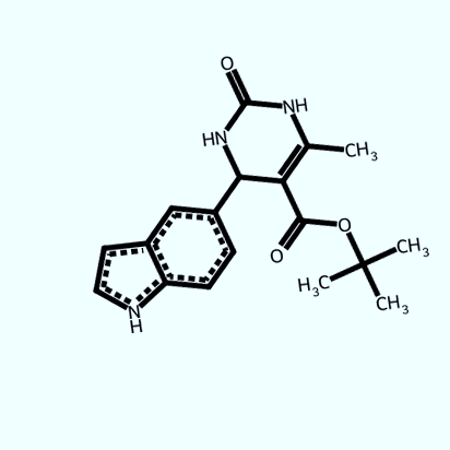 CC1=C(C(=O)OC(C)(C)C)C(c2ccc3[nH]ccc3c2)NC(=O)N1